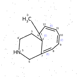 CC1=C2/CCNC/C2=C/C=C\C=C\1